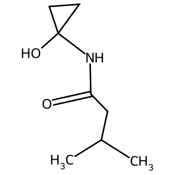 CC(C)CC(=O)NC1(O)CC1